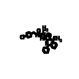 C[C@H](NC(=O)CCc1ccc(Cl)cc1)C(=O)N[C@H]1N=C(c2ccccc2)c2ccccc2N(C)C1=O